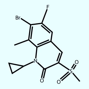 Cc1c(Br)c(F)cc2cc(S(C)(=O)=O)c(=O)n(C3CC3)c12